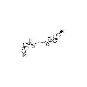 CC(C)C1CCC2C(CCC3C(C)(CNC(=O)CCCCCCCC(=O)NCC4(C)CCC[C@]5(C)C6CCC(C(C)C)CC6CCC45)CCC[C@@]23C)C1